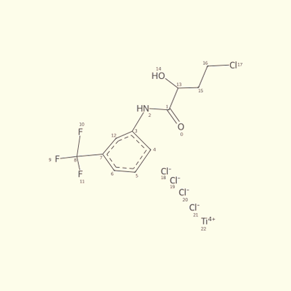 O=C(Nc1cccc(C(F)(F)F)c1)C(O)CCCl.[Cl-].[Cl-].[Cl-].[Cl-].[Ti+4]